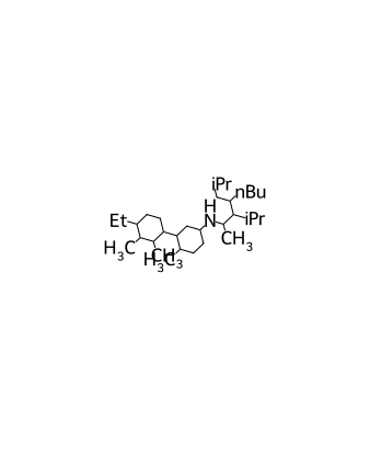 CCCCC(CC(C)C)C(C(C)C)C(C)NC1CCC(C)C(C2CCC(CC)C(C)C2C)C1